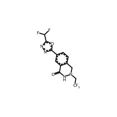 O=C1NN(CC(F)(F)F)Cc2ccc(-c3nnc(C(F)F)o3)cc21